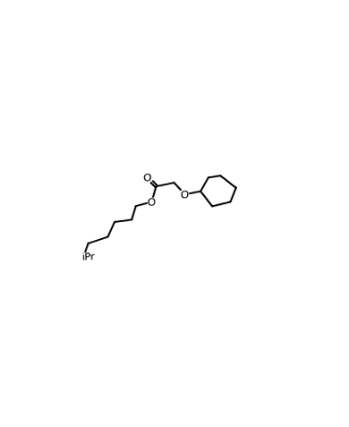 CC(C)CCCCCOC(=O)COC1CCCCC1